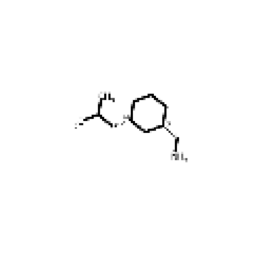 CC(C)C[C@@H]1CCC[C@H](CN)C1